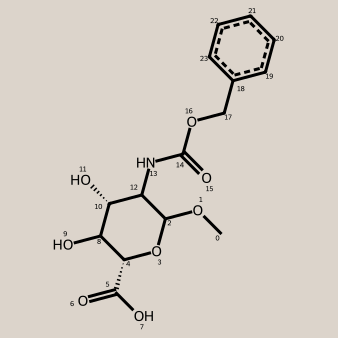 COC1O[C@H](C(=O)O)C(O)[C@H](O)C1NC(=O)OCc1ccccc1